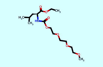 CCOC(=O)[C@H](CC(C)C)NC(=O)OCCOCCOCCOC